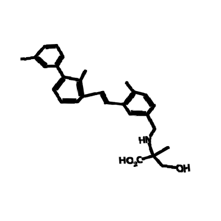 Cc1cccc(-c2cccc(C=Cc3cc(CNC(C)(CO)C(=O)O)ccc3C)c2C)c1